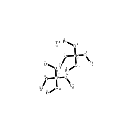 CC[O][Ti-2]([O]CC)([O]CC)[O]CC.CC[O][Ti-2]([O]CC)([O]CC)[O]CC.[Ti+4]